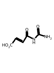 NC(=O)NC(=O)C=CC(=O)O